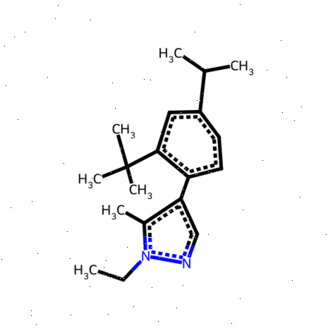 CCn1ncc(-c2ccc(C(C)C)cc2C(C)(C)C)c1C